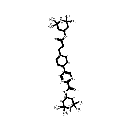 CC1(C)CC(OC(=O)CCC2CCC(c3cnc(C(=O)OC4CC(C)(C)NC(C)(C)C4)nc3)CC2)CC(C)(C)N1